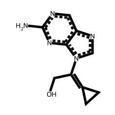 Nc1ncc2ncn(C(CO)=C3CC3)c2n1